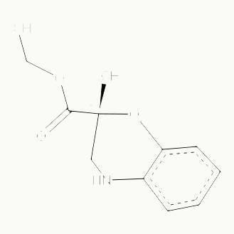 CCOC(=O)[C@@]1(C)CNc2ccccc2O1